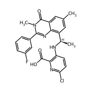 Cc1cc([C@@H](C)Nc2ccc(Cl)nc2C(=O)O)c2nc(-c3cccc(F)c3)n(C)c(=O)c2c1